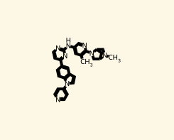 Cc1cc(Nc2nccc(-c3ccc4c(ccn4-c4ccncc4)c3)n2)cnc1N1CC2CC1CN2C